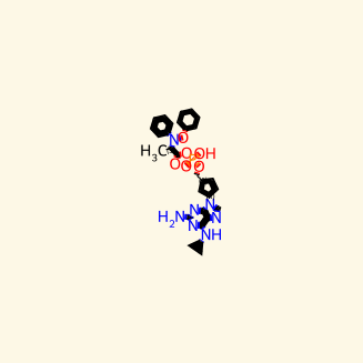 C[C@@H](C(=O)OP(=O)(O)OC[C@@H]1C=C[C@H](n2cnc3c(NC4CC4)nc(N)nc32)C1)N(OC1CCCCC1)c1ccccc1